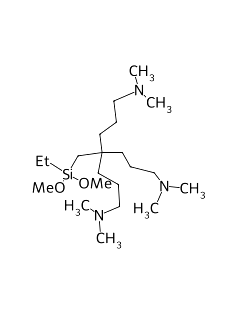 CC[Si](CC(CCCN(C)C)(CCCN(C)C)CCCN(C)C)(OC)OC